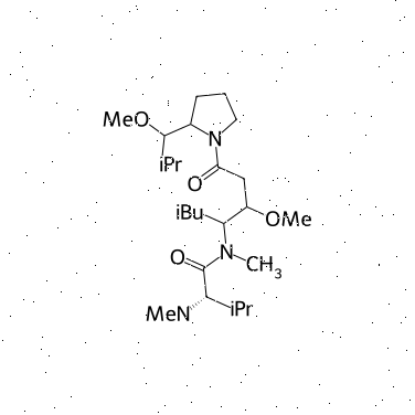 CCC(C)C(C(CC(=O)N1CCCC1C(OC)C(C)C)OC)N(C)C(=O)[C@@H](NC)C(C)C